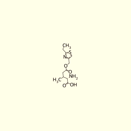 CCc1nc(COC(=O)CC(C)[C@H](N)C(=O)O)cs1